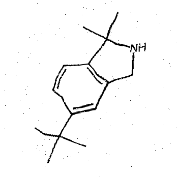 CC(C)(C)c1ccc2c(c1)CNC2(C)C